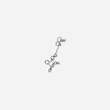 CO[C@@H]1CC1c1ccccc1C(C(=O)O)N1CC[C@@H](OCCCCc2ccc3c(n2)NCCC3)C1